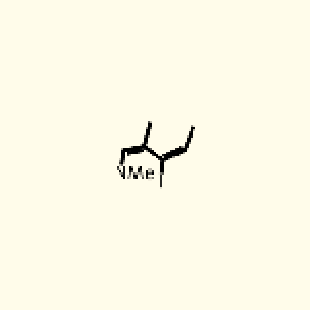 C/C=C(I)\C(C)=C/NC